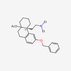 CCN(CC)CC[C@]12CCCCC1(OC(C)=O)CCc1ccc(OCc3ccccc3)cc12